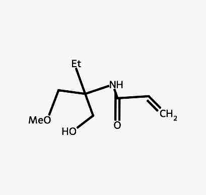 C=CC(=O)NC(CC)(CO)COC